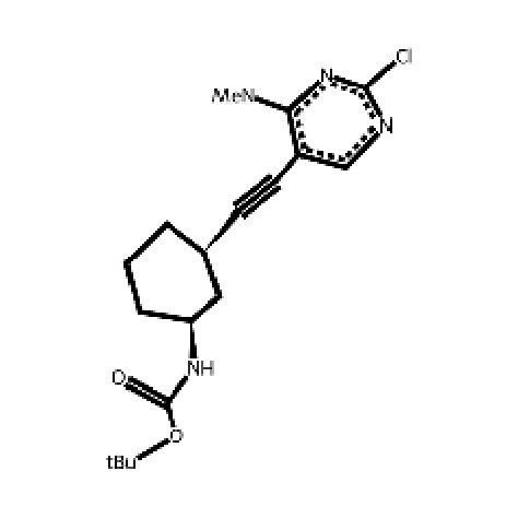 CNc1nc(Cl)ncc1C#C[C@@H]1CCC[C@H](NC(=O)OC(C)(C)C)C1